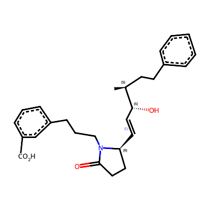 C[C@@H](CCc1ccccc1)[C@H](O)/C=C/[C@H]1CCC(=O)N1CCCc1cccc(C(=O)O)c1